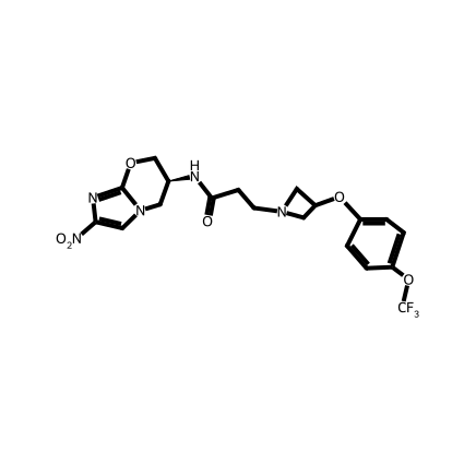 O=C(CCN1CC(Oc2ccc(OC(F)(F)F)cc2)C1)N[C@@H]1COc2nc([N+](=O)[O-])cn2C1